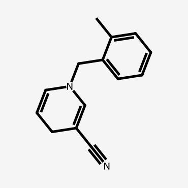 Cc1ccccc1CN1C=CCC(C#N)=C1